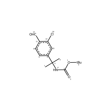 CC(C)(C)OC(=O)NC(C)(C)c1ccc(C=O)c(Cl)c1